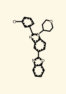 Clc1cccc(-c2nc3cc(-c4nc5ccccc5o4)ccc3n2C2CCOCC2)c1